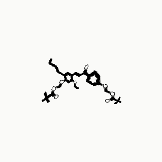 CC=CCc1cc(C=CC(=O)c2ccc(OCOC(=O)C(C)(C)C)cc2)c(OCC)cc1OCOC(=O)C(C)(C)C